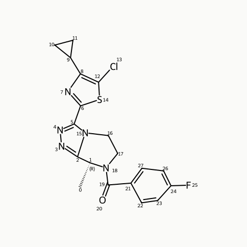 C[C@@H]1c2nnc(-c3nc(C4CC4)c(Cl)s3)n2CCN1C(=O)c1ccc(F)cc1